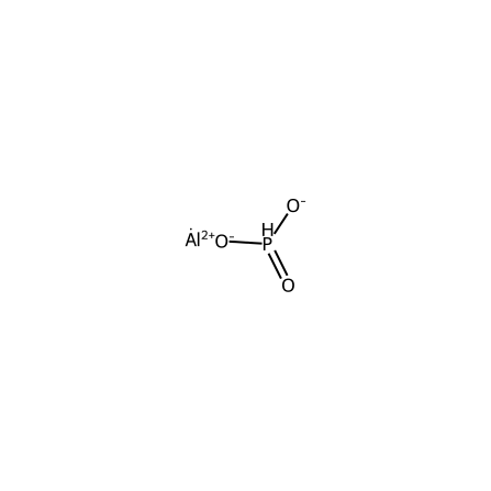 O=[PH]([O-])[O-].[Al+2]